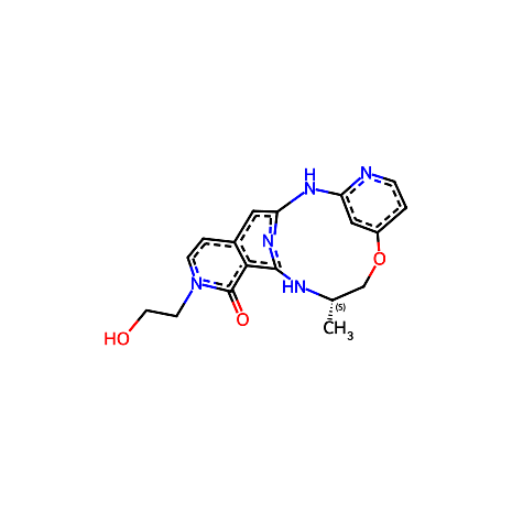 C[C@H]1COc2ccnc(c2)Nc2cc3ccn(CCO)c(=O)c3c(n2)N1